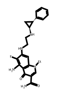 CCn1cc(C(N)=O)c(=O)c2c(N)c(F)c(NCCN[C@H]3C[C@@H]3c3ccccc3)cc21